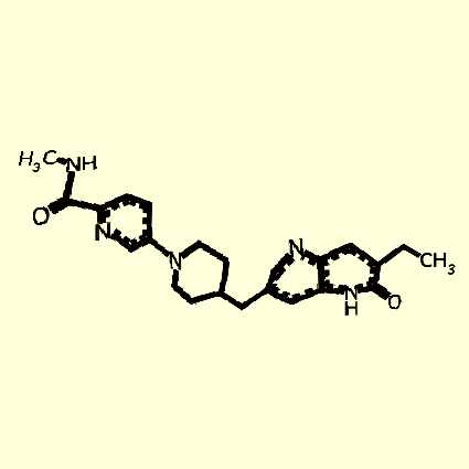 CCc1cc2ncc(CC3CCN(c4ccc(C(=O)NC)nc4)CC3)cc2[nH]c1=O